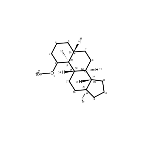 CC(C)(C)OC1CCC[C@@H]2CC[C@H]3[C@@H]4CCC[C@@]4(C)CC[C@@H]3[C@@]12C